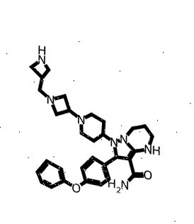 NC(=O)C1=C2NCCCN2N(C2CCN(C3CN(CC4CNC4)C3)CC2)C1c1ccc(Oc2ccccc2)cc1